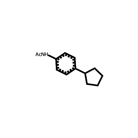 CC(=O)Nc1ccc(C2CCCC2)cc1